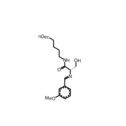 CCCCCCCCCCCCCCNC(=O)[C@H](CO)/N=C/c1cccc(OC)c1